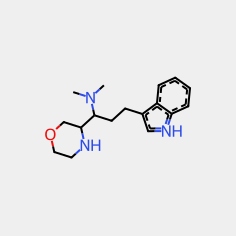 CN(C)C(CCc1c[nH]c2ccccc12)C1COCCN1